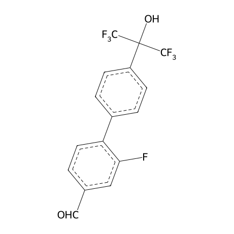 O=Cc1ccc(-c2ccc(C(O)(C(F)(F)F)C(F)(F)F)cc2)c(F)c1